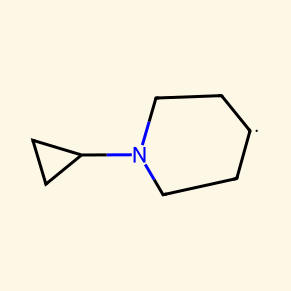 [CH]1CCN(C2CC2)CC1